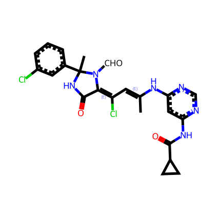 C/C(=C\C(Cl)=C1\C(=O)NC(C)(c2cccc(Cl)c2)N1C=O)Nc1cc(NC(=O)C2CC2)ncn1